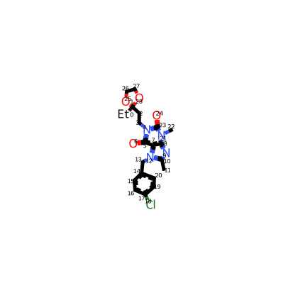 CCC1(CCn2c(=O)c3c(nc(C)n3Cc3ccc(Cl)cc3)n(C)c2=O)OCCO1